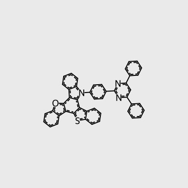 c1ccc(-c2cc(-c3ccccc3)nc(-c3ccc(-n4c5ccccc5c5c6oc7ccccc7c6c6sc7ccccc7c6c54)cc3)n2)cc1